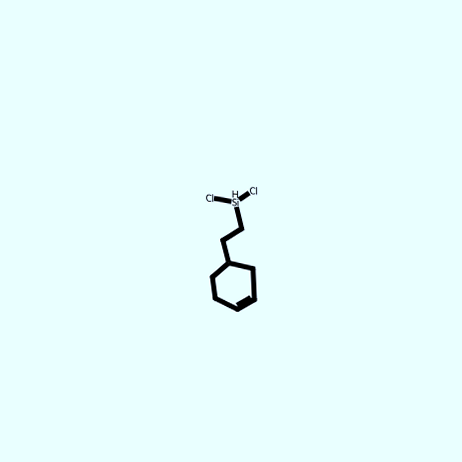 Cl[SiH](Cl)CCC1CC=CCC1